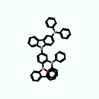 c1ccc(N(c2ccccc2)c2ccc3c(c2)c2ccccc2n3-c2ccc(-n3c4ccccc4c4ccccc43)c(N(c3ccccc3)c3ccccc3)c2)cc1